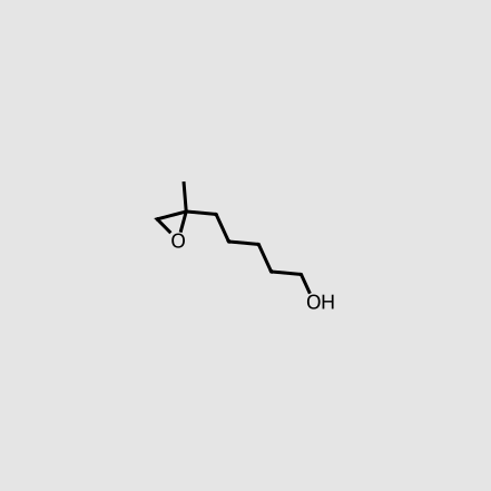 CC1(CCCCCO)CO1